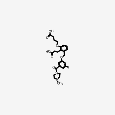 CN1CCN(C(=O)c2cc(I)cc(OCc3cccc(OCCCC(=O)O)c3CCC(=O)O)c2)CC1